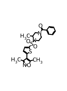 Cc1noc(C)c1-c1ccc(S(=O)(=O)N2CCN(C(=O)c3ccccc3)CC2C)s1